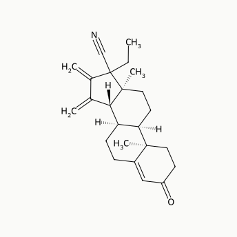 C=C1C(=C)C(C#N)(CC)[C@@]2(C)CC[C@@H]3[C@@H](CCC4=CC(=O)CC[C@@]43C)[C@H]12